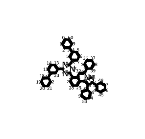 c1ccc(-c2cccc(-c3nc(-c4cccc(-c5ccccc5)c4)nc(-c4cccc5c4cc(-c4ccccc4)n4nc(-c6ccccc6)c(-c6ccccc6)c54)n3)c2)cc1